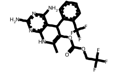 CC1=C(OC(=O)OCC(F)(F)F)C(c2ccccc2C(F)(F)F)c2c(N)nc(N)nc2N1